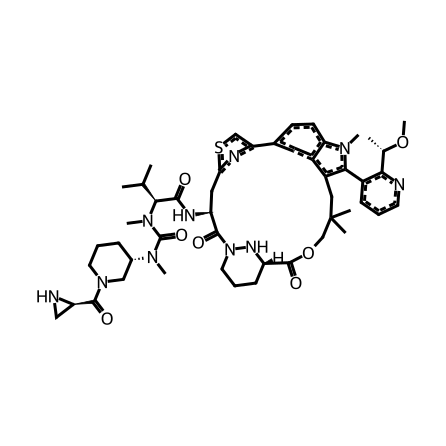 CO[C@@H](C)c1ncccc1-c1c2c3cc(ccc3n1C)-c1csc(n1)C[C@H](NC(=O)[C@H](C(C)C)N(C)C(=O)N(C)[C@H]1CCCN(C(=O)[C@H]3CN3)C1)C(=O)N1CCC[C@H](N1)C(=O)OCC(C)(C)C2